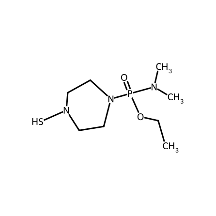 CCOP(=O)(N(C)C)N1CCN(S)CC1